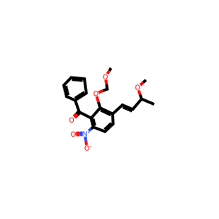 COCOc1c(C=CC(C)OC)ccc([N+](=O)[O-])c1C(=O)c1ccccc1